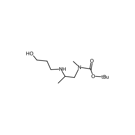 CC(CN(C)C(=O)OC(C)(C)C)NCCCO